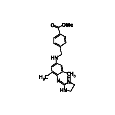 COC(=O)c1ccc(CNc2cc(C)c(N=C3NCCN3)c(C)c2)cc1